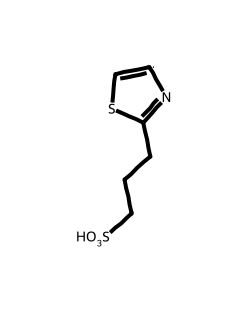 O=S(=O)(O)CCCc1n[c]cs1